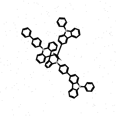 c1ccc(-c2ccc(N3c4ccccc4C4(c5ccccc53)c3ccccc3N(c3ccc(-c5ccc6c(c5)c5ccccc5n6-c5ccccc5)cc3)c3ccc(-c5ccc6c(c5)c5ccccc5n6-c5ccccc5)cc34)cc2)cc1